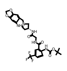 CC(C)(C)OC(=O)Nc1ccc(C(F)(F)F)cc1C(=O)NCC(=O)N[C@@H]1CCN(Cc2cc3c(cc2N)OCO3)C1